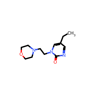 CCc1cnc(=O)n(CCN2CCOCC2)c1